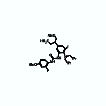 COCC(CC(=O)O)c1cc(F)c(N(CC(C)C)CC(C)C)c(NC(=O)Nc2ccc(OC)cc2F)c1